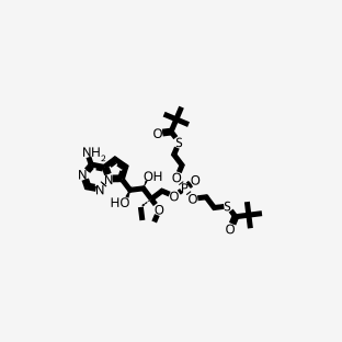 CC[C@](COP(=O)(OCCSC(=O)C(C)(C)C)OCCSC(=O)C(C)(C)C)(OC)[C@@H](O)[C@@H](O)c1ccc2c(N)ncnn12